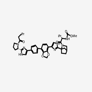 COC(=O)N[C@H](C(=O)N1CC2CCC1(c1nc(-c3ccc(-c4ccc(-c5c[nH]c([C@@H]6CCCN6C(=O)CC(C)C)n5)cc4)c4c3OCO4)c[nH]1)C2)C(C)C